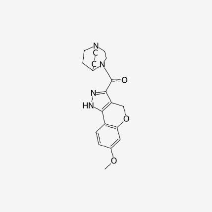 COc1ccc2c(c1)OCc1c(C(=O)N3CCN4CCC3CC4)n[nH]c1-2